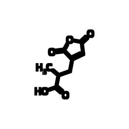 CC(CC1=CC(=O)OC1=O)C(=O)O